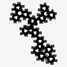 c1ccc2c(c1)c1ccccc1c1cc(-c3cc(-c4ccc5c6ccccc6c6ccccc6c5c4)nc(-n4c5ccccc5c5cc(-c6ccc7c(c6)c6ccccc6n7-c6cccc7c8ccccc8c8ccccc8c67)ccc54)n3)ccc21